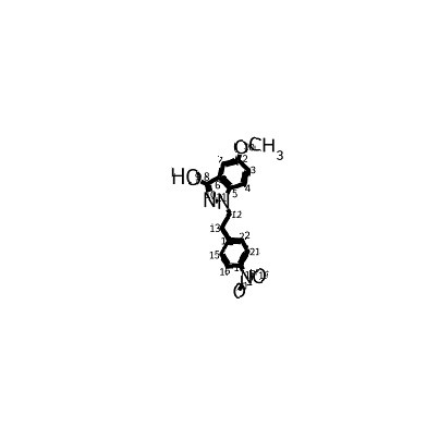 COc1ccc2c(c1)c(O)nn2CCc1ccc([N+](=O)[O-])cc1